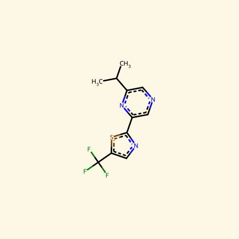 CC(C)c1cncc(-c2ncc(C(F)(F)F)s2)n1